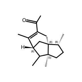 CC(=O)C1=C(C)[C@@H]2C[C@@]3(C1)[C@H](C)CC[C@@]3(C)C2C